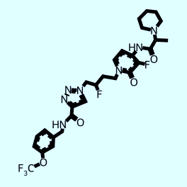 CC(C(=O)Nc1ccn(CCC(F)Cn2cc(C(=O)NCc3cccc(OC(F)(F)F)c3)nn2)c(=O)c1F)N1CCCCC1